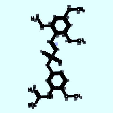 C=C(C)Nc1cc(CS(=O)(=O)/C=C/c2c(OC)cc(OC)cc2OC)ccc1OC